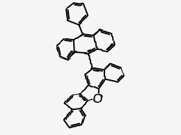 c1ccc(-c2c3ccccc3c(-c3cc4c5ccc6ccccc6c5oc4c4ccccc34)c3ccccc23)cc1